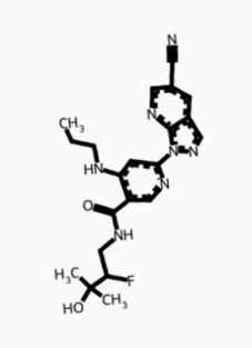 CCCNc1cc(-n2ncc3cc(C#N)cnc32)ncc1C(=O)NCC(F)C(C)(C)O